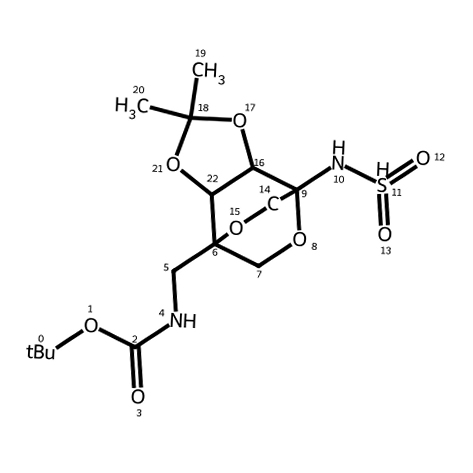 CC(C)(C)OC(=O)NCC12COC(N[SH](=O)=O)(CO1)C1OC(C)(C)OC12